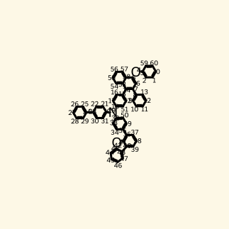 c1ccc(Oc2cc(-c3ccccc3)c(-c3ccc(N(c4ccc(-c5ccccc5)cc4)c4ccc(-c5cccc6c5oc5ccccc56)cc4)cc3)c3ccccc23)cc1